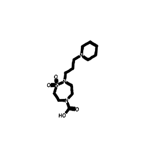 O=C(O)N1CCN(CCCN2CCCCC2)S(=O)(=O)CC1